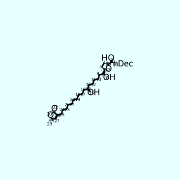 CCCCCCCCCC[C@@H](O)[C@H]1CC[C@H]([C@H](O)CCCCCC(O)CCCCCCCCCCC2=C[C@H](C)OC2=O)O1